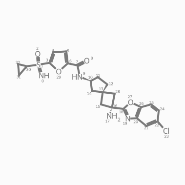 N=S(=O)(c1ccc(C(=O)N[C@H]2CC[C@]3(C2)C[C@](N)(c2nc4cc(Cl)ccc4o2)C3)o1)C1CC1